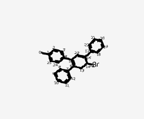 Cc1ccc(C2=C(c3ccccc3)CC(Br)C(c3ccccc3)=C2)cc1